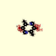 COC(=O)c1cc(-c2cc(C)cc(C(C)(C)C)c2)cc(-c2cccnc2)c1OC.Cc1cc(-c2cc(C(=O)O)c(O)c(-c3cccnc3)c2)cc(C(C)(C)C)c1